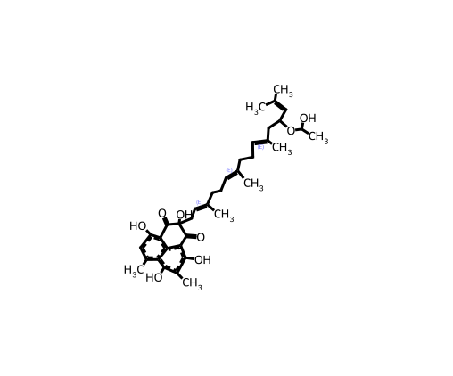 CC(C)=CC(C/C(C)=C/CC/C(C)=C/CC/C(C)=C/CC1(O)C(=O)c2c(O)cc(C)c3c(O)c(C)c(O)c(c23)C1=O)OC(C)O